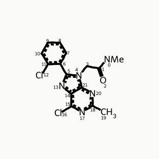 CNC(=O)Cn1c(-c2ccccc2Cl)nc2c(Cl)nc(C)nc21